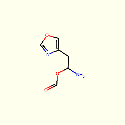 NC(Cc1cocn1)OC=O